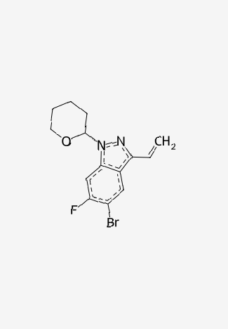 C=Cc1nn(C2CCCCO2)c2cc(F)c(Br)cc12